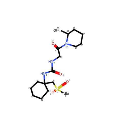 CC(C)(C)S(=O)(=O)CC1(NC(=O)NCC(=O)N2CCCCC2C=O)CCCCC1